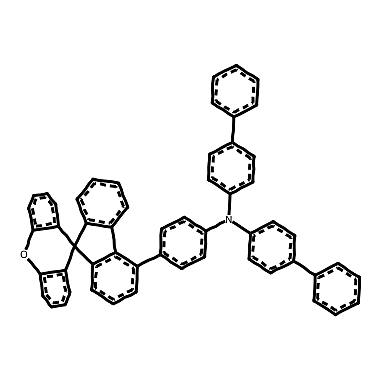 c1ccc(-c2ccc(N(c3ccc(-c4ccccc4)cc3)c3ccc(-c4cccc5c4-c4ccccc4C54c5ccccc5Oc5ccccc54)cc3)cc2)cc1